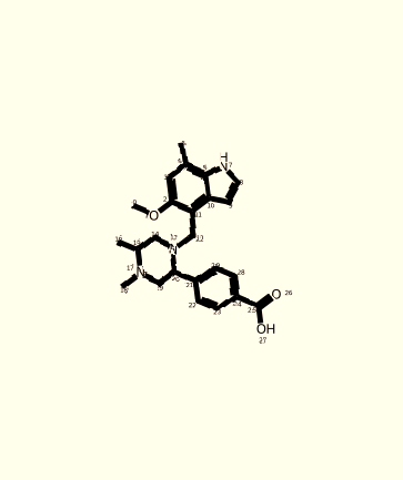 COc1cc(C)c2[nH]ccc2c1CN1CC(C)N(C)CC1c1ccc(C(=O)O)cc1